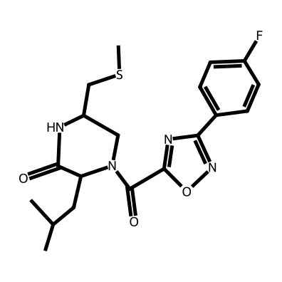 CSCC1CN(C(=O)c2nc(-c3ccc(F)cc3)no2)C(CC(C)C)C(=O)N1